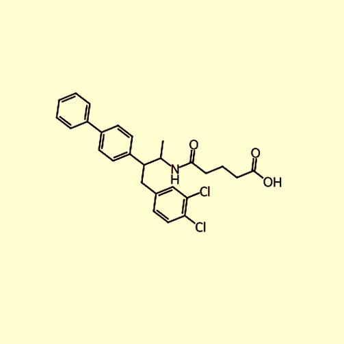 CC(NC(=O)CCCC(=O)O)C(Cc1ccc(Cl)c(Cl)c1)c1ccc(-c2ccccc2)cc1